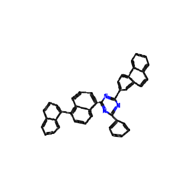 c1ccc(-c2nc(-c3ccc4c(ccc5ccccc54)c3)nc(-c3cccc4c(-c5cccc6ccccc56)cccc34)n2)cc1